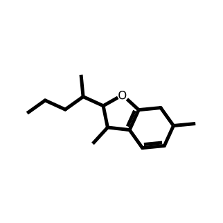 CCCC(C)C1OC2=C(C=CC(C)C2)C1C